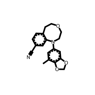 Cc1cc(N2CCOCCc3ccc(C#N)cc32)cc2c1OCO2